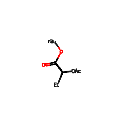 CCCCOC(=O)C(CC)OC(C)=O